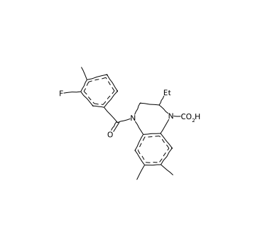 CCC1CN(C(=O)c2ccc(C)c(F)c2)c2cc(C)c(C)cc2N1C(=O)O